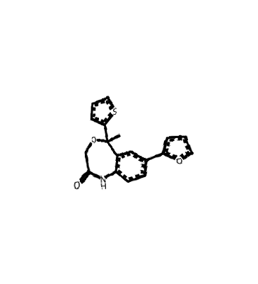 CC1(c2cccs2)OCC(=O)Nc2ccc(-c3ccco3)cc21